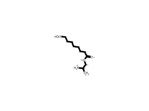 CCCCCCCCCCCCCCCC(=O)OCC(C)N